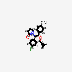 N#Cc1ccc([C@@H](OCC2CC2)[C@H](c2ccc(F)cc2)N2CCCC2=O)cc1